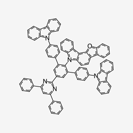 c1ccc(-c2cc(-c3ccccc3)nc(-c3cc(-c4ccc(-n5c6ccccc6c6ccccc65)cc4)c(-n4c5ccccc5c5c6oc7ccccc7c6ccc54)c(-c4ccc(-n5c6ccccc6c6ccccc65)cc4)c3)n2)cc1